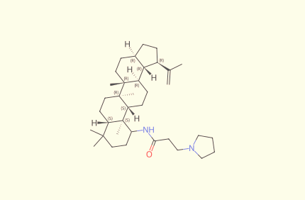 C=C(C)[C@@H]1CC[C@@H]2CC[C@]3(C)[C@H](CC[C@@H]4[C@@]5(C)C(NC(=O)CCN6CCCC6)CCC(C)(C)[C@@H]5CC[C@]43C)[C@H]21